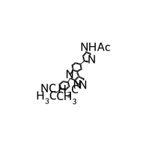 CC(=O)Nc1cncc(-c2ccc3nc(-c4ccc(C(C)(C)C#N)cc4)c4c(cnn4C)c3c2)c1